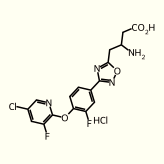 Cl.NC(CC(=O)O)Cc1nc(-c2ccc(Oc3ncc(Cl)cc3F)c(F)c2)no1